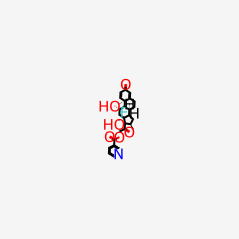 C[C@@H]1C[C@H]2[C@@H]3CCC4=CC(=O)C=C[C@]4(C)C3(F)[C@@H](O)C[C@]2(C)[C@@]1(O)C(=O)COC(=O)c1cccnc1